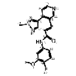 COc1cc(NC(=O)C=Cc2cnccc2-c2cnn(C)c2)ccc1F